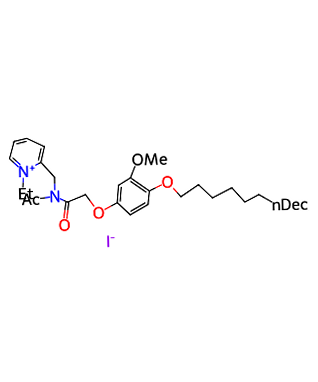 CCCCCCCCCCCCCCCCOc1ccc(OCC(=O)N(Cc2cccc[n+]2CC)C(C)=O)cc1OC.[I-]